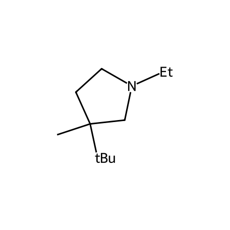 CCN1CCC(C)(C(C)(C)C)C1